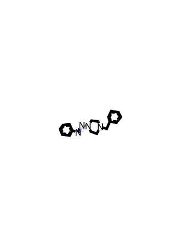 c1ccc(CN2CCN(/N=N/c3ccccc3)CC2)cc1